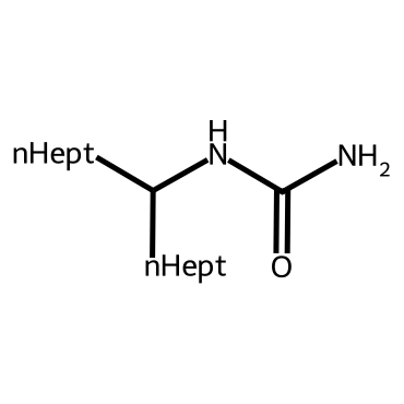 CCCCCCCC(CCCCCCC)NC(N)=O